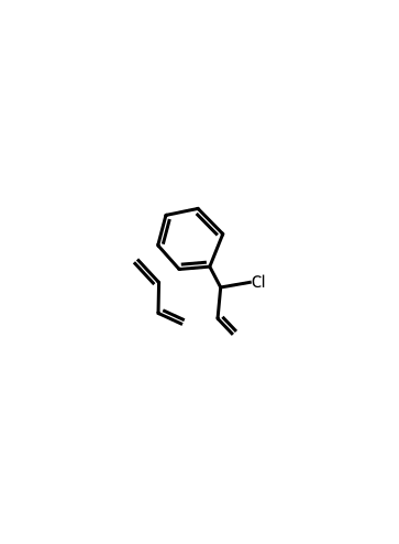 C=CC(Cl)c1ccccc1.C=CC=C